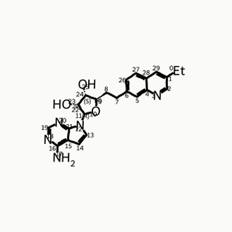 CCc1cnc2cc(CC[C@H]3O[C@@H](n4ccc5c(N)ncnc54)[C@H](O)[C@@H]3O)ccc2c1